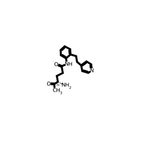 CC(=O)[C@@H](N)CCC(=O)Nc1ccccc1CCc1ccncc1